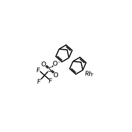 C1=CC2C=CC1C2.C1=CC2C=CC1C2.O=S(=O)([O-])C(F)(F)F.[Rh]